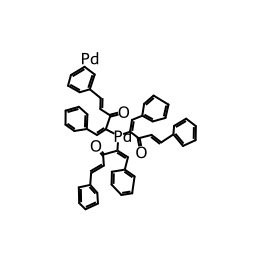 O=C(C=Cc1ccccc1)[C](=Cc1ccccc1)[Pd]([C](=Cc1ccccc1)C(=O)C=Cc1ccccc1)[C](=Cc1ccccc1)C(=O)C=Cc1ccccc1.[Pd]